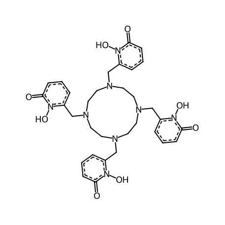 O=c1cccc(CN2CCN(Cc3cccc(=O)n3O)CCN(Cc3cccc(=O)n3O)CCN(Cc3cccc(=O)n3O)CC2)n1O